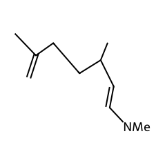 C=C(C)CCC(C)/C=C/NC